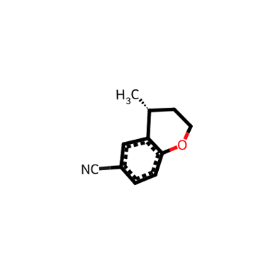 C[C@@H]1CCOc2ccc(C#N)cc21